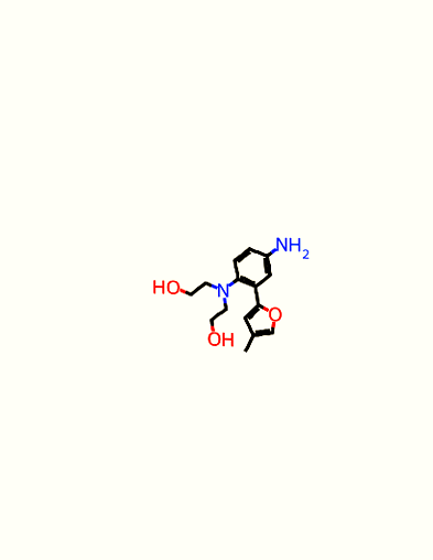 Cc1coc(-c2cc(N)ccc2N(CCO)CCO)c1